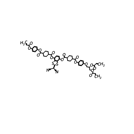 C=CC(=O)OCC(COc1ccc(OC(=O)C2CCC(C(=O)Oc3ccc(OC(=O)C4CCC(C(=O)Oc5ccc(OC(=O)C=C)cc5)CC4)c4c3SC(=C(C#N)C#N)S4)CC2)cc1)OC(=O)C=C